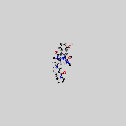 CCN(C(=O)C1CCCN(C2CCN(C(=O)c3c(NC(=O)NC)sc4c(OC)cccc34)CC2)C1)C(C)C